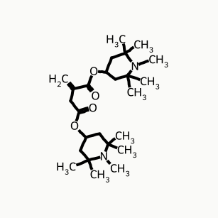 C=C(CC(=O)OC1CC(C)(C)N(C)C(C)(C)C1)C(=O)OC1CC(C)(C)N(C)C(C)(C)C1